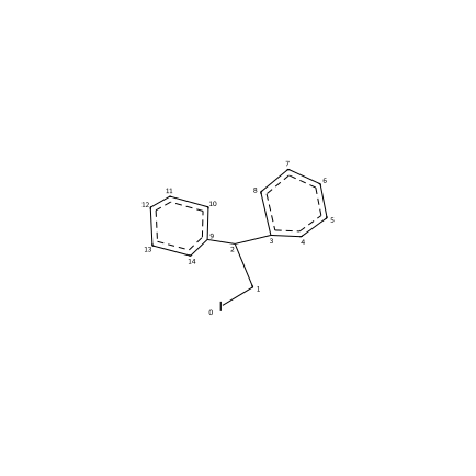 ICC(c1ccccc1)c1ccccc1